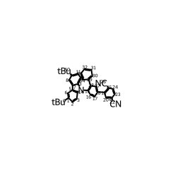 CC(C)(C)c1ccc2c(c1)c1cc(C(C)(C)C)ccc1n2-c1ccc(-c2cc(C#N)ccc2C#N)cc1-c1ccccc1